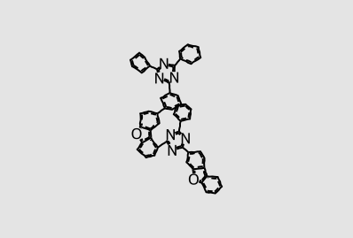 c1ccc(-c2nc(-c3ccccc3)nc(-c3cccc(-c4ccc5oc6cccc(-c7nc(-c8ccccc8)nc(-c8ccc9c(c8)oc8ccccc89)n7)c6c5c4)c3)n2)cc1